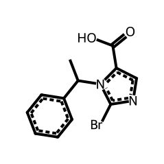 CC(c1ccccc1)n1c(C(=O)O)cnc1Br